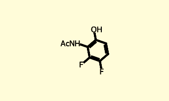 CC(=O)Nc1c(O)ccc(F)c1F